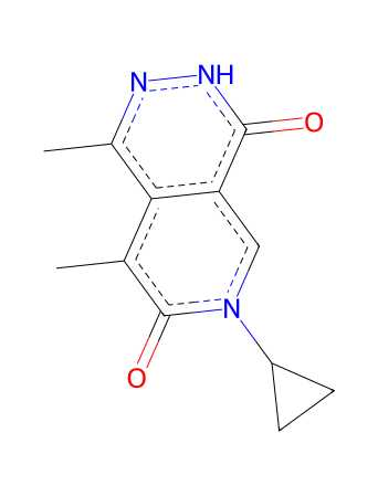 Cc1n[nH]c(=O)c2cn(C3CC3)c(=O)c(C)c12